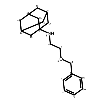 c1ccc(COCCNC23CC4CC(CC(C4)C2)C3)cc1